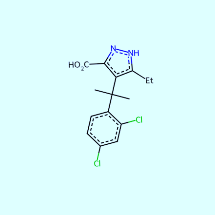 CCc1[nH]nc(C(=O)O)c1C(C)(C)c1ccc(Cl)cc1Cl